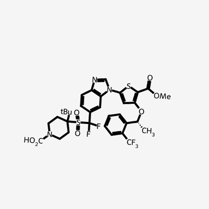 COC(=O)c1sc(-n2cnc3ccc(C(F)(F)S(=O)(=O)C4(C(C)(C)C)CCN(C(=O)O)CC4)cc32)cc1O[C@H](C)c1ccccc1C(F)(F)F